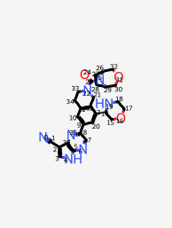 N#Cc1c[nH]c2ncc(-c3cc4c(c([C@@H]5COCCN5)c3)CN(C(=O)N3C5CCC3COC5)CC4)nc12